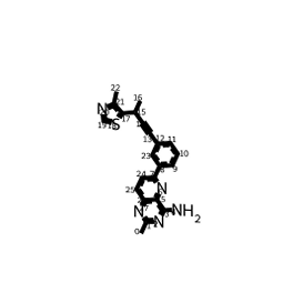 Cc1nc(N)c2nc(-c3cccc(C#CC(C)c4scnc4C)c3)ccc2n1